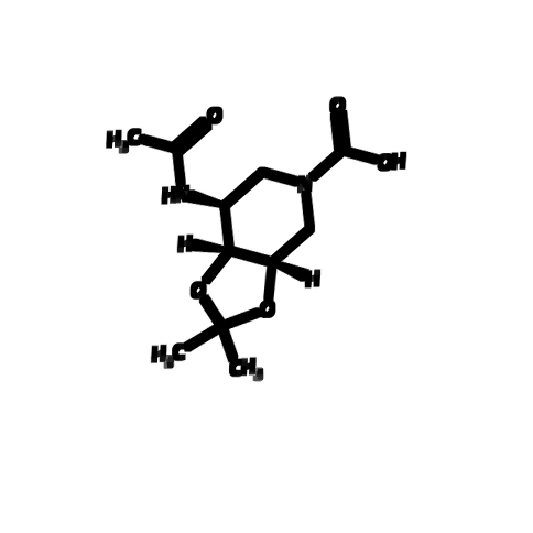 CC(=O)N[C@H]1CN(C(=O)O)C[C@@H]2OC(C)(C)O[C@H]12